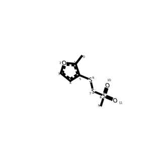 Cc1occc1SSS(C)(=O)=O